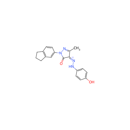 CC1=NN(c2ccc3c(c2)CCC3)C(=O)/C1=N\Nc1ccc(O)cc1